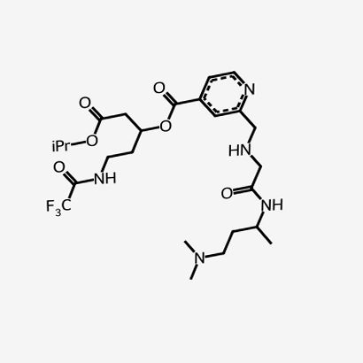 CC(CCN(C)C)NC(=O)CNCc1cc(C(=O)OC(CCNC(=O)C(F)(F)F)CC(=O)OC(C)C)ccn1